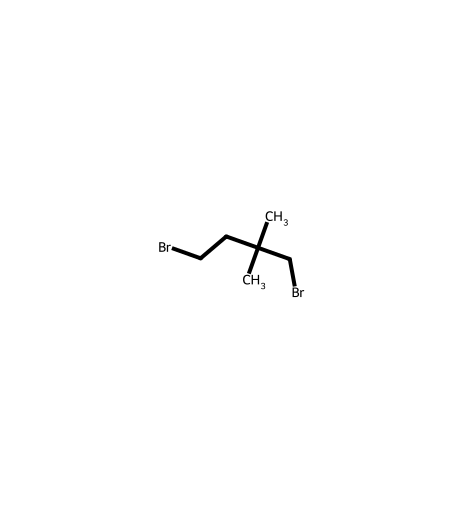 CC(C)(CBr)CCBr